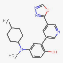 CC1CCC(N(C(=O)O)c2ccc(O)c(-c3cncc(-c4nnco4)c3)c2)CC1